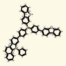 c1ccc(-n2c3cc(-c4ccc(N(c5ccc(-c6ccc7c(c6)oc6ccccc67)cc5)c5ccc6c(c5)sc5ccccc56)cc4)ccc3c3ccc4ccccc4c32)cc1